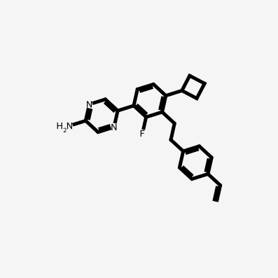 C=Cc1ccc(CCc2c(C3CCC3)ccc(-c3cnc(N)cn3)c2F)cc1